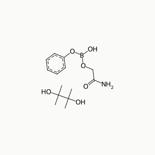 CC(C)(O)C(C)(C)O.NC(=O)COB(O)Oc1ccccc1